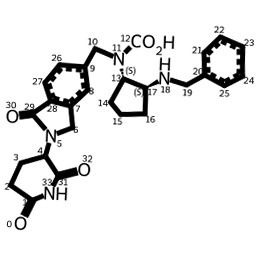 O=C1CCC(N2Cc3cc(CN(C(=O)O)[C@H]4CCC[C@@H]4NCc4ccccc4)ccc3C2=O)C(=O)N1